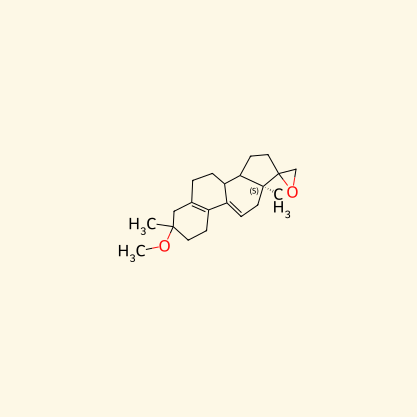 COC1(C)CCC2=C(CCC3C2=CC[C@@]2(C)C3CCC23CO3)C1